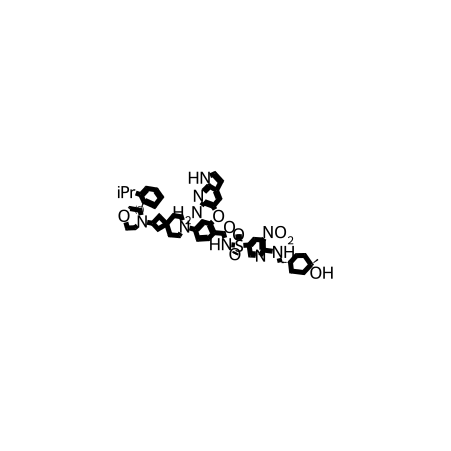 CC(C)c1ccccc1[C@H]1COCCN1C1CC2(CCN(c3ccc(C(=O)NS(=O)(=O)c4cnc(NC[C@H]5CC[C@](C)(O)CC5)c([N+](=O)[O-])c4)c(Oc4cc5cc[nH]c5nc4N)c3)CC2)C1